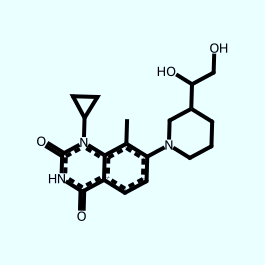 Cc1c(N2CCCC(C(O)CO)C2)ccc2c(=O)[nH]c(=O)n(C3CC3)c12